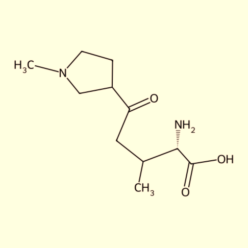 CC(CC(=O)C1CCN(C)C1)[C@H](N)C(=O)O